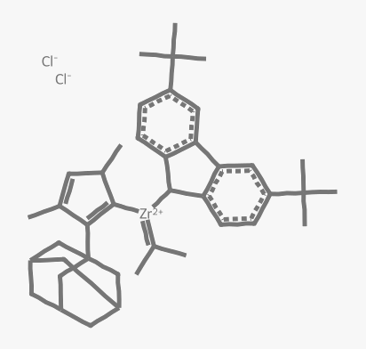 CC1=CC(C)[C]([Zr+2](=[C](C)C)[CH]2c3ccc(C(C)(C)C)cc3-c3cc(C(C)(C)C)ccc32)=C1C12CC3CC(CC(C3)C1)C2.[Cl-].[Cl-]